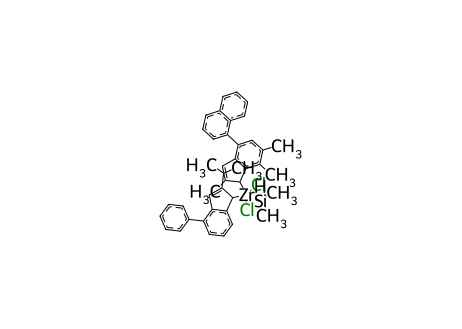 CC1=Cc2c(-c3cccc4ccccc34)cc(C)c(C)c2[CH]1[Zr]([Cl])([Cl])([CH]1C(C(C)C)=Cc2c(-c3ccccc3)cccc21)[SiH](C)C